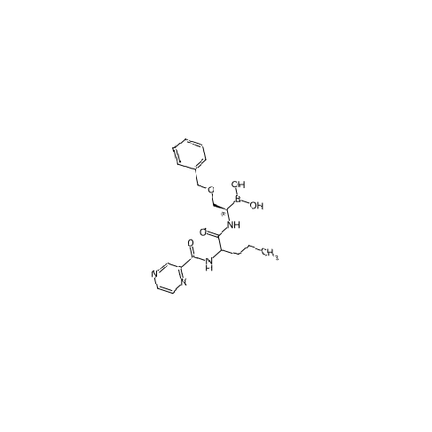 CCCC(NC(=O)c1cnccn1)C(=O)N[C@@H](COCc1ccccc1)B(O)O